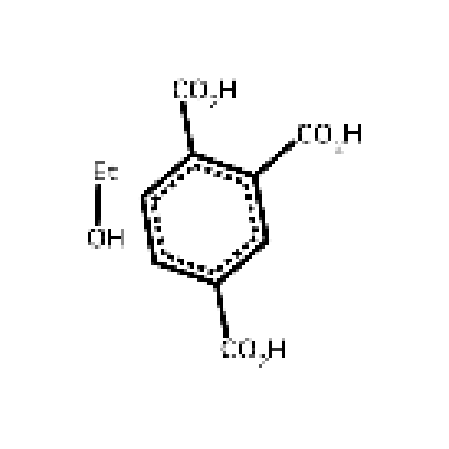 CCO.O=C(O)c1ccc(C(=O)O)c(C(=O)O)c1